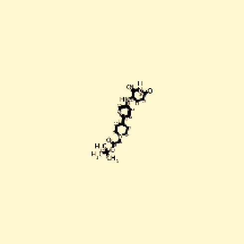 CC(C)(C)OC(=O)CN1CCC(c2ccc(NC3CCC(=O)NC3=O)cn2)CC1